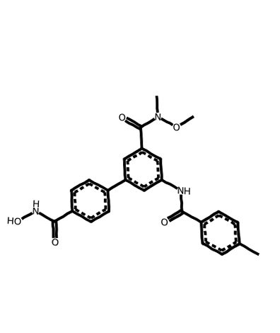 CON(C)C(=O)c1cc(NC(=O)c2ccc(C)cc2)cc(-c2ccc(C(=O)NO)cc2)c1